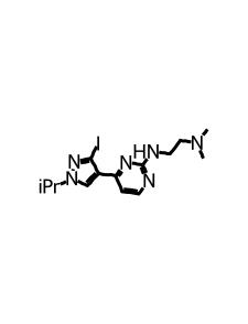 CC(C)n1cc(-c2ccnc(NCCN(C)C)n2)c(I)n1